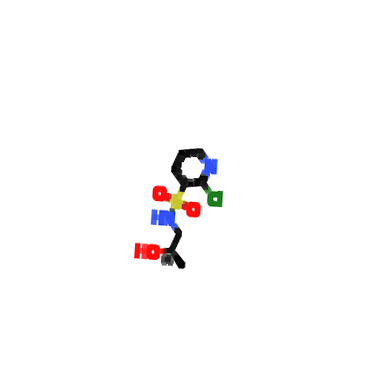 C[C@@H](O)CNS(=O)(=O)c1cccnc1Cl